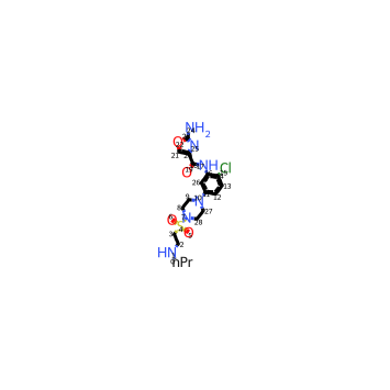 CCCNCCS(=O)(=O)N1CCN(c2ccc(Cl)c(NC(=O)c3coc(N)n3)c2)CC1